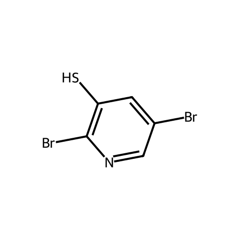 Sc1cc(Br)cnc1Br